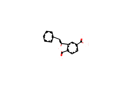 O=C(O)c1ccc2c(c1)/C(=C/c1ccccc1)OC2=O